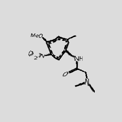 COc1cc(C)c(NC(=O)CN(C)C)cc1[N+](=O)[O-]